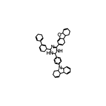 C1=CC2C3C=CCCC3N(c3ccc(C4NC(C5=CCC6C(=C5)OC5C=CCCC56)=NC(C5C=C(C6=CCCC=C6)C=CC5)N4)cc3)C2C=C1